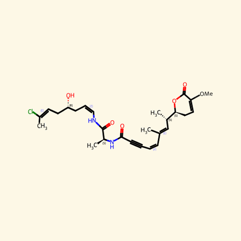 COC1=CC[C@@H]([C@@H](C)/C=C(C)/C=C\C#CC(=O)N[C@@H](C)C(=O)N/C=C\C[C@@H](O)C/C=C(\C)Cl)OC1=O